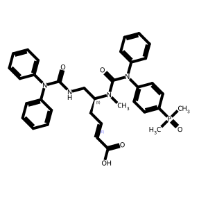 CN(C(=O)N(c1ccccc1)c1ccc(P(C)(C)=O)cc1)[C@@H](C/C=C/C(=O)O)CNC(=O)N(c1ccccc1)c1ccccc1